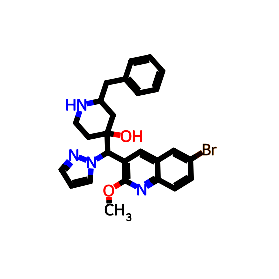 COc1nc2ccc(Br)cc2cc1C(n1cccn1)C1(O)CCNC(Cc2ccccc2)C1